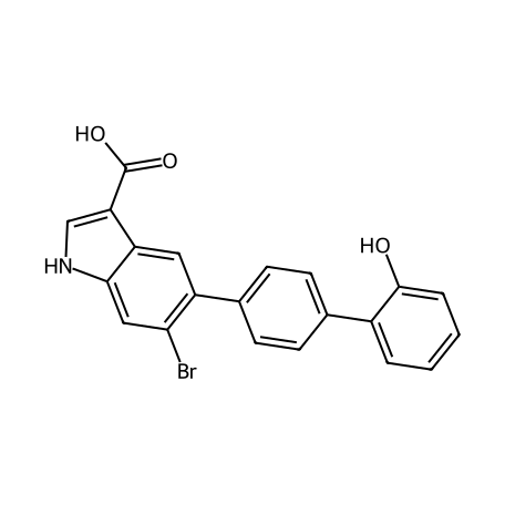 O=C(O)c1c[nH]c2cc(Br)c(-c3ccc(-c4ccccc4O)cc3)cc12